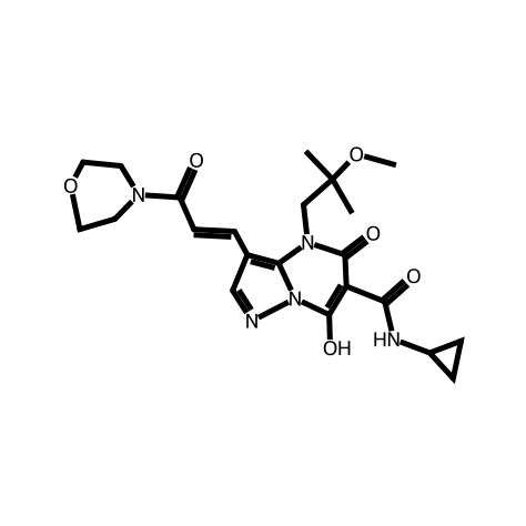 COC(C)(C)Cn1c(=O)c(C(=O)NC2CC2)c(O)n2ncc(C=CC(=O)N3CCOCC3)c12